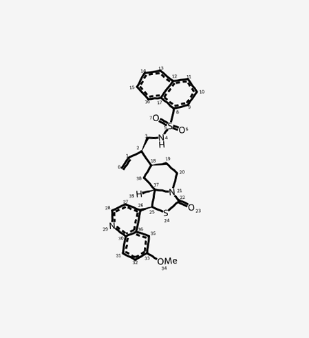 C=C[C@@H](CNS(=O)(=O)c1cccc2ccccc12)[C@H]1CCN2C(=O)S[C@@H](c3ccnc4ccc(OC)cc34)[C@@H]2C1